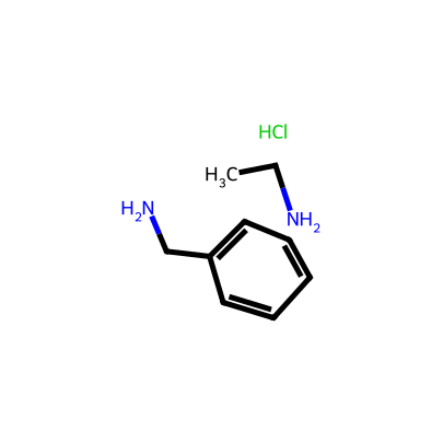 CCN.Cl.NCc1ccccc1